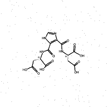 O=C(O)C[C@H](NC(=O)c1nc[nH]c1C(=O)N[C@@H](CC(=O)O)C(=O)O)C(=O)O